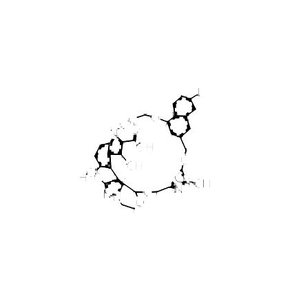 Cc1nn2c3c1-c1c(Cl)ccc4c1c(C)c(C(=O)O)n4CCCOc1cc(cc4cc(F)ccc14)CCc1cc(nn1C)CCC3OCC2